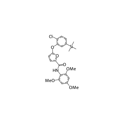 COc1cc(OC)c(NC(=O)c2ccc(Oc3cc([Si](C)(C)C)ccc3Cl)o2)c(OC)c1